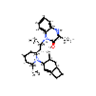 CCC1CC2CCC2=CC1N1[C@H](C[C@H](C)n2c(=O)c(C(=O)O)nc3ccccc32)CCC[C@@H]1C